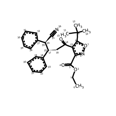 CCOC(=O)c1noc(C(C)(C)C)c1C(=O)C[C@H](c1ccccc1)[C@H](C#N)c1ccccc1